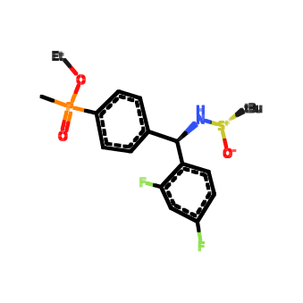 CCOP(C)(=O)c1ccc([C@@H](N[S@+]([O-])C(C)(C)C)c2ccc(F)cc2F)cc1